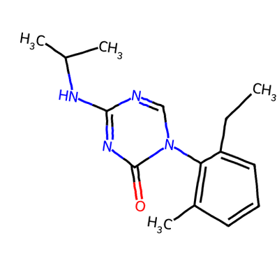 CCc1cccc(C)c1-n1cnc(NC(C)C)nc1=O